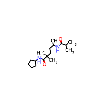 CC(CCC(C)(C)C(=O)NC1CCCC1)NC(=O)C(C)C